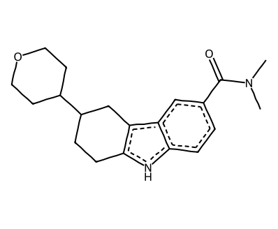 CN(C)C(=O)c1ccc2[nH]c3c(c2c1)CC(C1CCOCC1)CC3